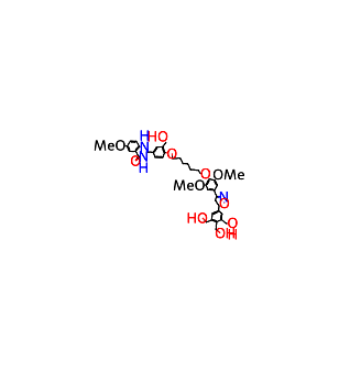 COc1ccc2c(c1)C(=O)NC(c1ccc(OCCCCCCCOc3c(OC)cc(C4=NOC(c5cc(CO)c(CO)c(CO)c5)C4)cc3OC)c(CO)c1)N2